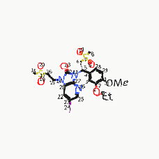 CCOc1cc([C@@H](CS(C)(=O)=O)n2c(=O)n(CCS(C)(=O)=O)c3cc(I)cnc32)ccc1OC